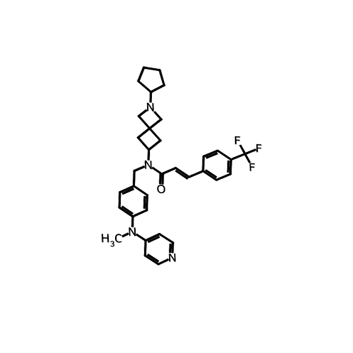 CN(c1ccncc1)c1ccc(CN(C(=O)/C=C/c2ccc(C(F)(F)F)cc2)C2CC3(C2)CN(C2CCCC2)C3)cc1